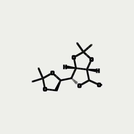 CC1(C)O[C@H]2[C@@H]([C@H]3COC(C)(C)O3)OC([O])[C@H]2O1